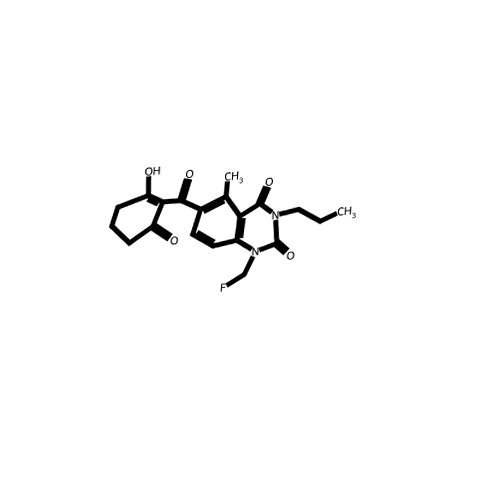 CCCn1c(=O)c2c(C)c(C(=O)C3=C(O)CCCC3=O)ccc2n(CF)c1=O